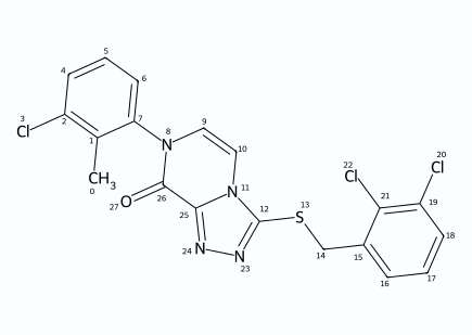 Cc1c(Cl)cccc1-n1ccn2c(SCc3cccc(Cl)c3Cl)nnc2c1=O